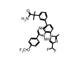 Cc1nc(C(F)F)cn1-c1ccc(-c2cccc(C(C)(C)C(N)=O)c2)cc1N(N)/C(=C\N)c1ccc(OC(F)(F)F)cc1